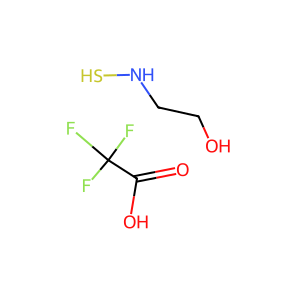 O=C(O)C(F)(F)F.OCCNS